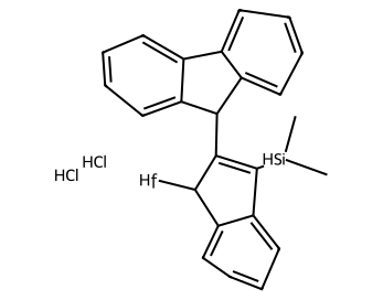 C[SiH](C)C1=C(C2c3ccccc3-c3ccccc32)[CH]([Hf])c2ccccc21.Cl.Cl